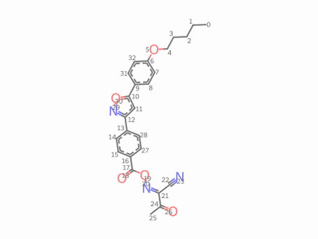 CCCCCOc1ccc(-c2cc(-c3ccc(C(=O)O/N=C(\C#N)C(C)=O)cc3)no2)cc1